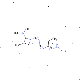 CCC(=C\NC)/N=C\N=C/N1CC(C)C1N(C)C